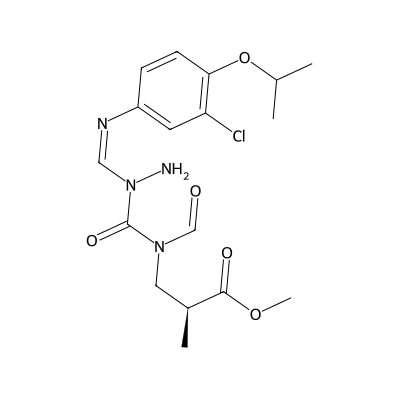 COC(=O)[C@@H](C)CN(C=O)C(=O)N(N)/C=N\c1ccc(OC(C)C)c(Cl)c1